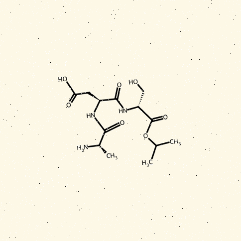 CC(C)OC(=O)[C@@H](CO)NC(=O)[C@H](CC(=O)O)NC(=O)[C@@H](C)N